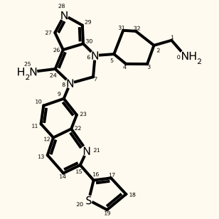 NCC1CCC(N2CN(c3ccc4ccc(-c5cccs5)nc4c3)C(N)=C3C=NC=C32)CC1